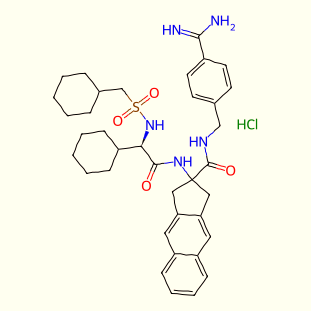 Cl.N=C(N)c1ccc(CNC(=O)C2(NC(=O)[C@H](NS(=O)(=O)CC3CCCCC3)C3CCCCC3)Cc3cc4ccccc4cc3C2)cc1